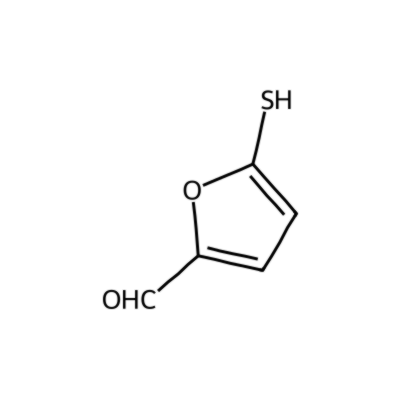 O=Cc1ccc(S)o1